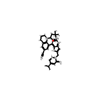 CC(C)c1cnn(Cc2cc3nccc(-c4cc(C#N)cc5c4N(C4CNC(C)(C)C4)CCC5)c3s2)c(=O)c1